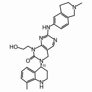 Cc1cccc2c1NCC[C@@H]2N1Cc2cnc(Nc3ccc4c(c3)CCN(C)C4)nc2N(CCO)C1=O